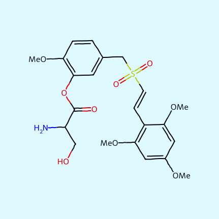 COc1cc(OC)c(C=CS(=O)(=O)Cc2ccc(OC)c(OC(=O)C(N)CO)c2)c(OC)c1